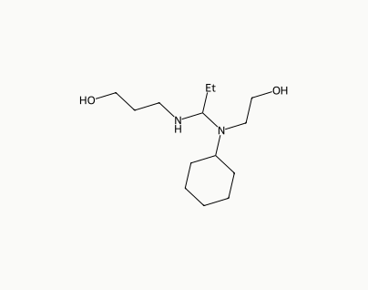 CCC(NCCCO)N(CCO)C1CCCCC1